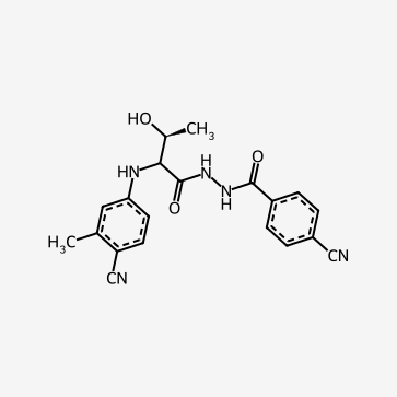 Cc1cc(NC(C(=O)NNC(=O)c2ccc(C#N)cc2)[C@H](C)O)ccc1C#N